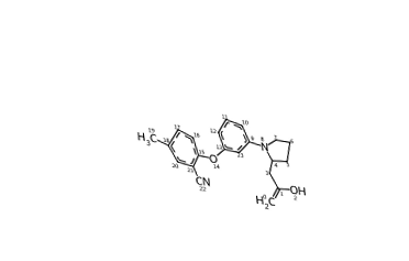 C=C(O)CC1CCCN1c1cccc(Oc2ccc(C)cc2C#N)c1